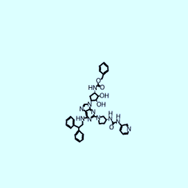 O=C(Nc1cccnc1)N[C@@H]1CCN(c2nc(NCC(c3ccccc3)c3ccccc3)c3ncn([C@@H]4C[C@H](NC(=O)OCc5ccccc5)[C@@H](O)[C@H]4O)c3n2)C1